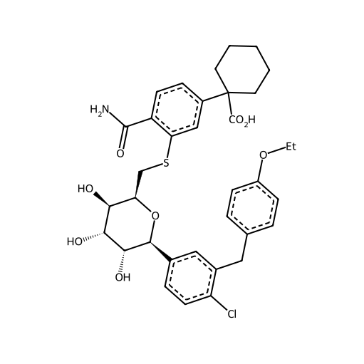 CCOc1ccc(Cc2cc([C@@H]3O[C@H](CSc4cc(C5(C(=O)O)CCCCC5)ccc4C(N)=O)[C@H](O)[C@@H](O)[C@H]3O)ccc2Cl)cc1